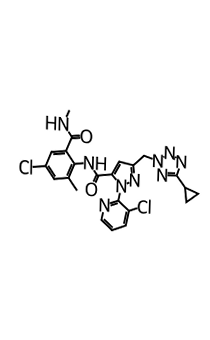 CNC(=O)c1cc(Cl)cc(C)c1NC(=O)c1cc(Cn2nnc(C3CC3)n2)nn1-c1ncccc1Cl